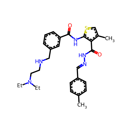 CCN(CC)CCNCc1cccc(C(=O)Nc2scc(C)c2C(=O)NN=Cc2ccc(C)cc2)c1